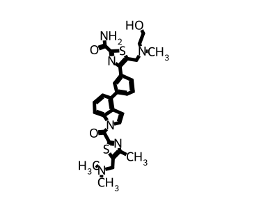 Cc1nc(C(=O)n2ccc3c(-c4cccc(-c5nc(C(N)=O)sc5CN(C)CCO)c4)cccc32)sc1CN(C)C